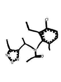 CCc1c(Cl)ccc(C)c1N(C(C)=O)C(C)c1nonc1C